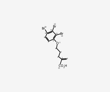 C=C(CCCOc1ccc(Br)c(Br)c1Br)C(=O)O